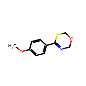 COc1ccc(C2=NCOCS2)cc1